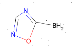 Bc1ncno1